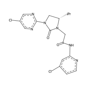 CC(C)[C@H]1CN(c2ncc(Cl)cn2)C(=O)N1CC(=O)Nc1cc(Cl)ccn1